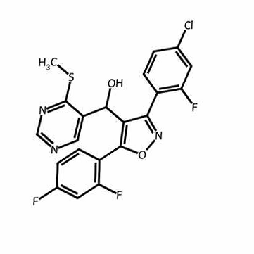 CSc1ncncc1C(O)c1c(-c2ccc(Cl)cc2F)noc1-c1ccc(F)cc1F